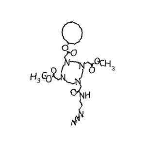 COC(=O)CN1CCN(CC(=O)NCCCN=[N+]=[N-])CCN(CC(=O)OC)CCN(CC(=O)OC2CCCCCCCCCC2)CC1